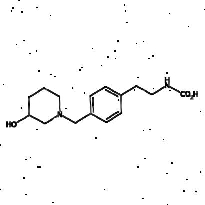 O=C(O)NCCc1ccc(CN2CCCC(O)C2)cc1